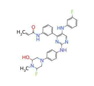 C=CC(=O)Nc1cccc(-c2nc(Nc3ccc(N4CC(O)N(C)C(F)C4)cc3)ncc2Nc2cccc(F)c2)c1